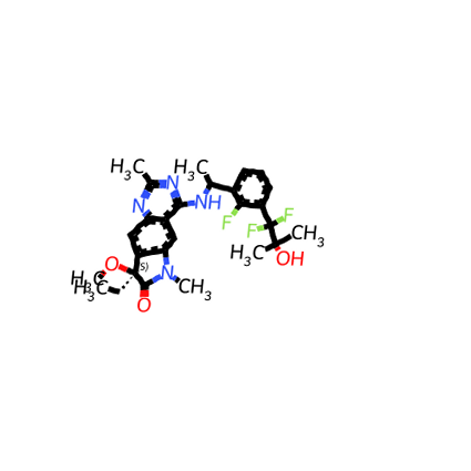 CC[C@@]1(OC)C(=O)N(C)c2cc3c(NC(C)c4cccc(C(F)(F)C(C)(C)O)c4F)nc(C)nc3cc21